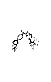 C[C@@H](CN1CC(C(=O)N2CCN(c3ccc4c(c3)OC(F)(F)O4)CC2)C1)Nc1cn[nH]c(=O)c1C(F)(F)F